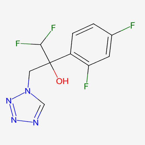 OC(Cn1cnnn1)(c1ccc(F)cc1F)C(F)F